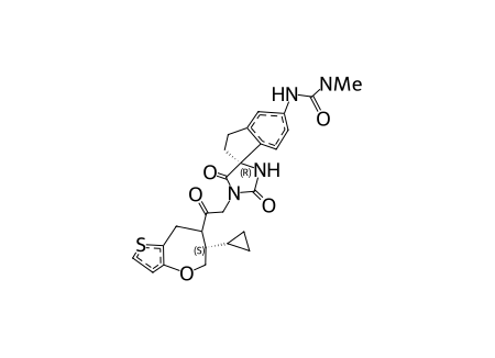 CNC(=O)Nc1ccc2c(c1)CC[C@@]21NC(=O)N(CC(=O)C2Cc3sccc3OC[C@H]2C2CC2)C1=O